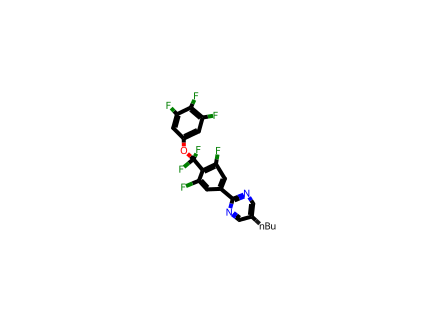 CCCCc1cnc(-c2cc(F)c(C(F)(F)Oc3cc(F)c(F)c(F)c3)c(F)c2)nc1